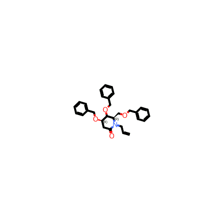 C=CCN1C(=O)C[C@@H](OCc2ccccc2)C(OCc2ccccc2)[C@H]1COCc1ccccc1